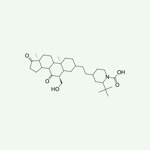 CC(C)(C)C1CC(CCC2CC[C@]3(C)C4CC[C@]5(C)C(=O)CCC5C4C(=O)[C@H](CO)C3C2)CCN1C(=O)O